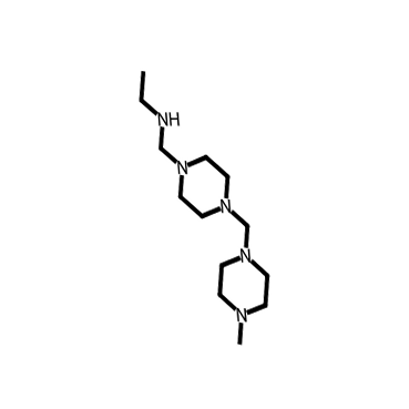 CCNCN1CCN(CN2CCN(C)CC2)CC1